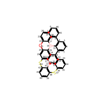 c1ccc(-c2cccc(-c3ccccc3)c2B2c3ccccc3Oc3cc4c(cc32)B2c3ccccc3Sc3cccc(c32)S4)cc1